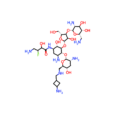 NC[C@@H]1O[C@H](O[C@H]2[C@@H](O)[C@H](O[C@@H]3[C@@H](O)[C@H](NC(=O)C(O)[C@@H](F)CN)C[C@H](N)[C@H]3O[C@H]3O[C@H](CNCC4CC(N)C4)[C@@H](O)C[C@H]3N)O[C@@H]2CO)[C@H](N)[C@@H](O)[C@@H]1O